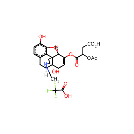 CC(=O)OC(CC(=O)O)C(=O)OC1=CC[C@@]2(O)[C@H]3Cc4ccc(O)c5c4[C@@]2(CCN3C)[C@H]1O5.O=C(O)C(F)(F)F